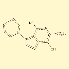 CCOC(=O)c1nc(C#N)c2c(ccn2-c2ccccc2)c1O